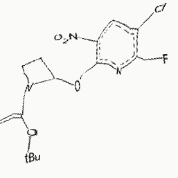 CC(C)(C)OC(=O)N1CCC1Oc1nc(F)c(Cl)cc1[N+](=O)[O-]